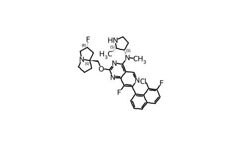 C[C@@H]1NCC[C@@H]1N(C)c1nc(OC[C@@]23CCCN2C[C@H](F)C3)nc2c(F)c(-c3cccc4ccc(F)c(Cl)c34)ncc12